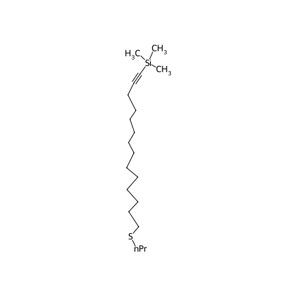 CCCSCCCCCCCCCCCCC#C[Si](C)(C)C